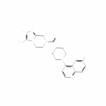 C[C@@H]1CN(c2ccnc3ccc(Cl)cc23)CC[C@@H]1C(=O)N1CCn2c(nnc2C(F)(F)F)C1